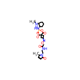 C=C1C=CC(=O)N1CCNC(=O)CON=C1CC2(C1)C(=O)OP(N[C@@H]1CCCC[C@H]1NC)OC2=O